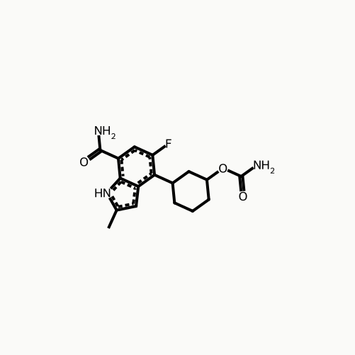 Cc1cc2c(C3CCCC(OC(N)=O)C3)c(F)cc(C(N)=O)c2[nH]1